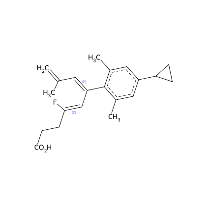 C=C(C)/C=C(\C=C(/F)CCC(=O)O)c1c(C)cc(C2CC2)cc1C